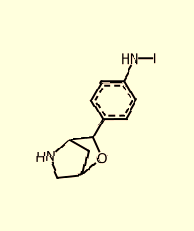 INc1ccc(C2OC3CNC2C3)cc1